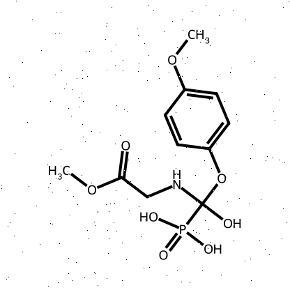 COC(=O)CNC(O)(Oc1ccc(OC)cc1)P(=O)(O)O